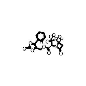 CC1(C)[C@H](C(=O)OCc2oc(=O)oc2-c2ccccc2)N2C(=O)C[C@H]2S1(=O)=O